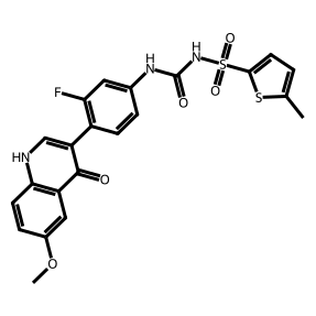 COc1ccc2[nH]cc(-c3ccc(NC(=O)NS(=O)(=O)c4ccc(C)s4)cc3F)c(=O)c2c1